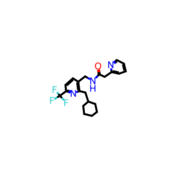 O=C(Cc1ccccn1)NCc1ccc(C(F)(F)F)nc1CC1CCCCC1